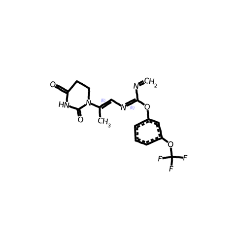 C=N/C(=N\C=C(/C)N1CCC(=O)NC1=O)Oc1cccc(OC(F)(F)F)c1